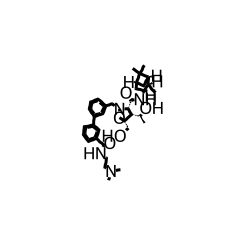 C[C@@H]1[C@@H](NC(=O)[C@@H]2[C@H]([C@H](C)O)[C@H](CO)ON2Cc2cccc(-c3cccc(C(=O)NCCN(C)C)c3)c2)C[C@H]2C[C@@H]1C2(C)C